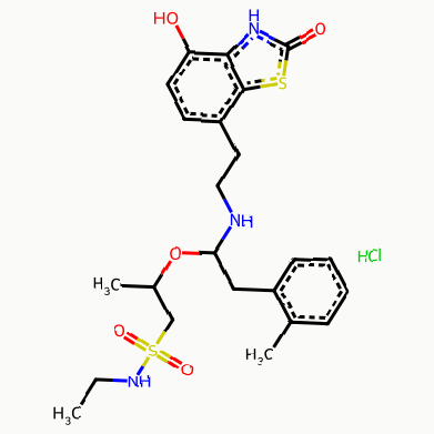 CCNS(=O)(=O)CC(C)OC(Cc1ccccc1C)NCCc1ccc(O)c2[nH]c(=O)sc12.Cl